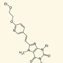 CCOCCOc1ccc(/C=C/c2nc3c(c(=O)n(CC)c(=O)n3CC)n2C)cn1